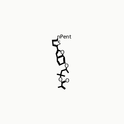 C=C(C)C(=O)OC(C)(C)CC(C)Oc1ccc2cc(-c3ccc(CCCCC)s3)oc2c1